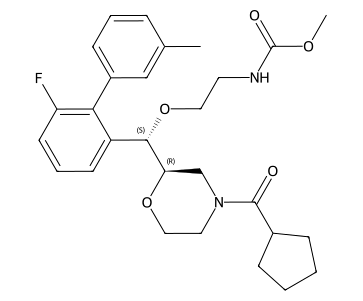 COC(=O)NCCO[C@@H](c1cccc(F)c1-c1cccc(C)c1)[C@H]1CN(C(=O)C2CCCC2)CCO1